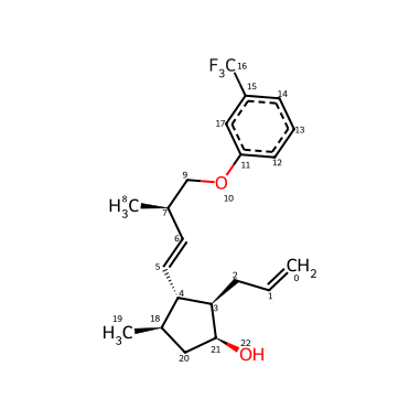 C=CC[C@@H]1[C@@H](/C=C/[C@@H](C)COc2cccc(C(F)(F)F)c2)[C@H](C)C[C@@H]1O